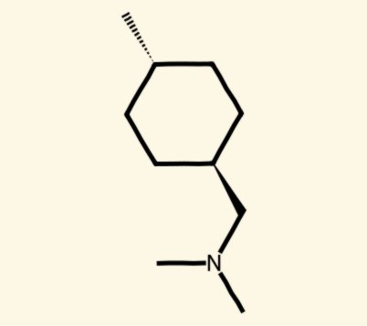 CN(C)C[C@H]1CC[C@H](C)CC1